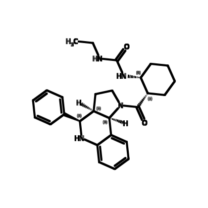 CCNC(=O)N[C@@H]1CCCC[C@@H]1C(=O)N1CC[C@@H]2[C@H](c3ccccc3)Nc3ccccc3[C@@H]21